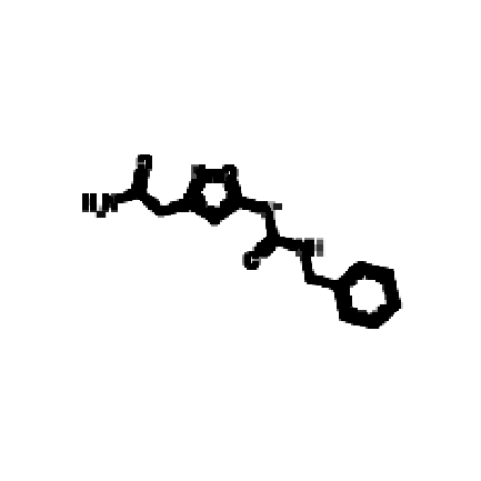 NC(=O)C[n+]1cc([N-]C(=O)NCc2ccccc2)on1